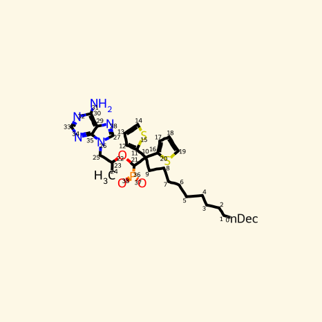 CCCCCCCCCCCCCCCCCCCC(c1cccs1)(c1cccs1)C(OC(C)Cn1cnc2c(N)ncnc21)P(=O)=O